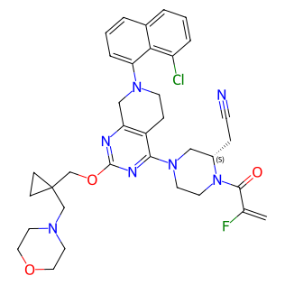 C=C(F)C(=O)N1CCN(c2nc(OCC3(CN4CCOCC4)CC3)nc3c2CCN(c2cccc4cccc(Cl)c24)C3)C[C@@H]1CC#N